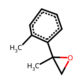 Cc1ccccc1C1(C)CO1